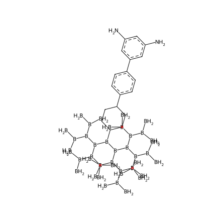 BB(B)B(B(B)B)B(B(B)B)B(B(B(B(B)B)B(B)B)B(B(B)B)B(B)B)B(B(B(B(B)B)B(B)B)B(B(B)B)B(B)B)C1CCC(c2ccc(-c3cc(N)cc(N)c3)cc2)CC1